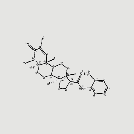 CN1C(=O)C(F)=C[C@]2(C)C3CC[C@]4(C)[C@@H](C(=O)Nc5ncccc5N)CC[C@H]4C3CC[C@@H]12